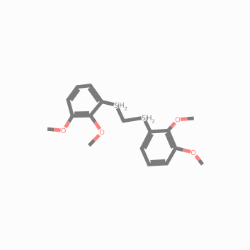 COc1cccc([SiH2]C[SiH2]c2cccc(OC)c2OC)c1OC